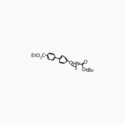 CCOC(=O)c1ccc(-c2ccc(OCC(C)NC(=O)OC(C)(C)C)cc2)cc1